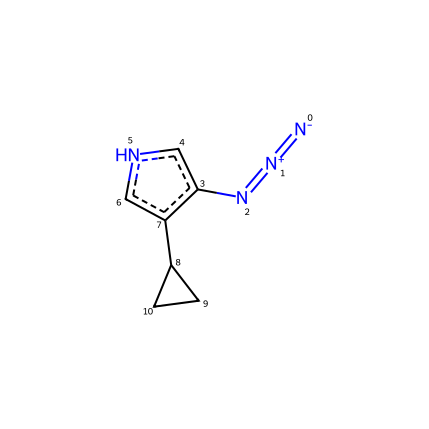 [N-]=[N+]=Nc1c[nH]cc1C1CC1